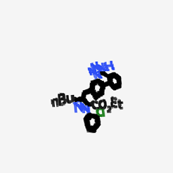 CCCCc1nn(-c2ccccc2Cl)c(C(=O)OCC)c1Cc1ccc(-c2ccccc2-c2nnn[nH]2)cc1